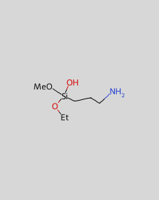 CCO[Si](O)(CCCN)OC